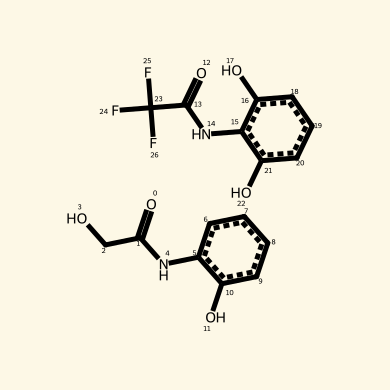 O=C(CO)Nc1ccccc1O.O=C(Nc1c(O)cccc1O)C(F)(F)F